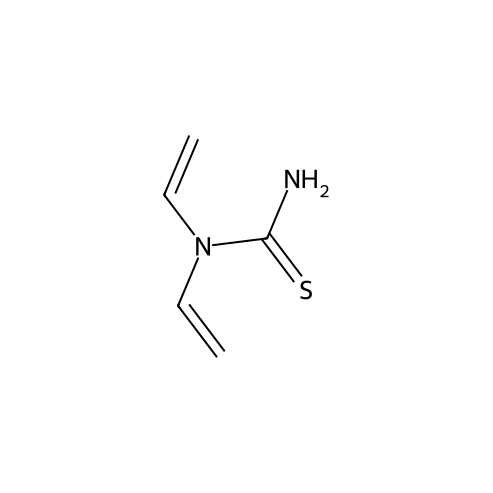 C=CN(C=C)C(N)=S